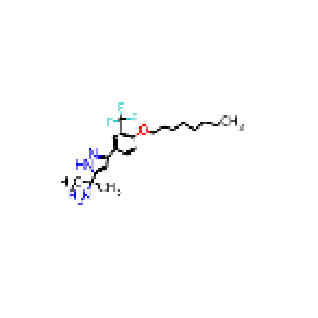 [CH2][C@](C)(N)c1cc(-c2ccc(OCCCCCCCC)c(C(F)(F)F)c2)n[nH]1